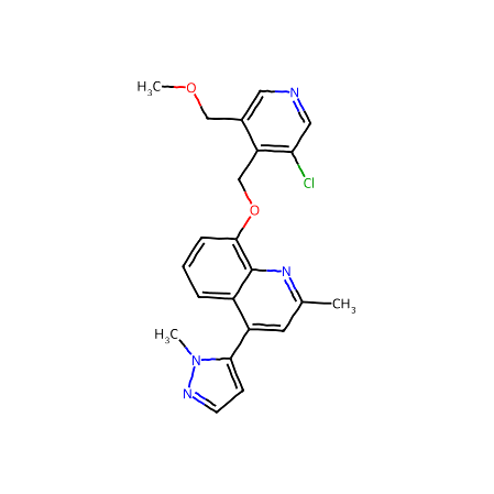 COCc1cncc(Cl)c1COc1cccc2c(-c3ccnn3C)cc(C)nc12